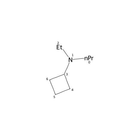 [CH2]CCN(CC)C1CCC1